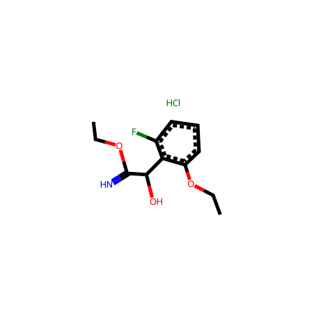 CCOC(=N)C(O)c1c(F)cccc1OCC.Cl